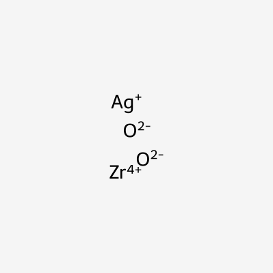 [Ag+].[O-2].[O-2].[Zr+4]